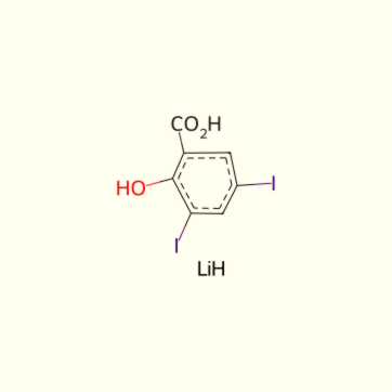 O=C(O)c1cc(I)cc(I)c1O.[LiH]